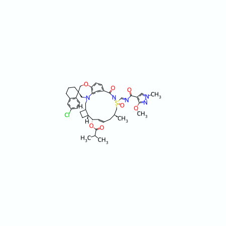 COc1nn(C)cc1C(=O)/N=C/S1(=O)=NC(=O)c2ccc3c(c2)N(C[C@@H]2CC[C@H]2[C@@H](OC(=O)C(C)C)/C=C/C[C@H](C)C1)C[C@@]1(CCCc2cc(Cl)ccc21)CO3